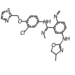 C=Nc1ccc(NC2=NC(C)CO2)cc1/C(=N\C)Nc1ccc(OCc2nccs2)c(Cl)c1